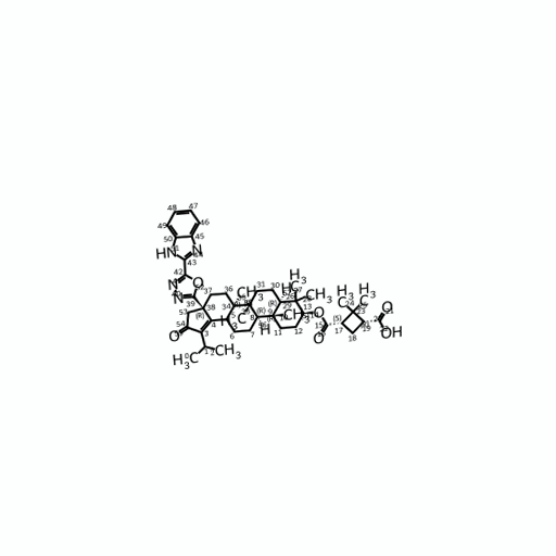 CC(C)C1=C2C3CC[C@@H]4[C@@]5(C)CC[C@H](OC(=O)[C@H]6C[C@@H](C(=O)O)C6(C)C)C(C)(C)[C@@H]5CC[C@@]4(C)[C@]3(C)CC[C@@]2(c2nnc(-c3nc4ccccc4[nH]3)o2)CC1=O